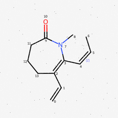 C=CC1=C(/C=C\C)N(C)C(=O)CCC1